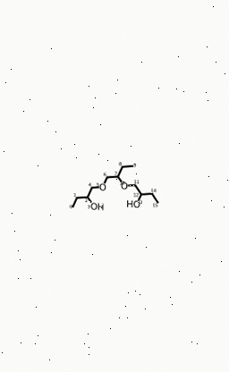 CCC(O)COCC(CC)OCC(O)CC